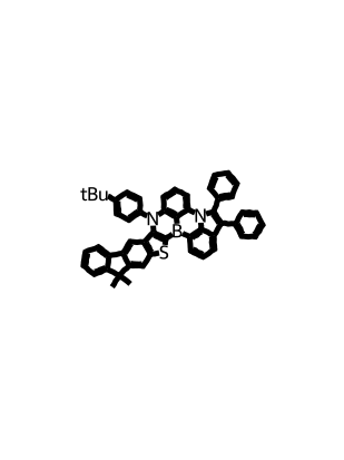 CC(C)(C)c1ccc(N2c3cccc4c3B(c3sc5cc6c(cc5c32)-c2ccccc2C6(C)C)c2cccc3c(-c5ccccc5)c(-c5ccccc5)n-4c23)cc1